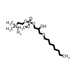 CCCCCCCCOCC(O)COP(=O)(OC)OCC[N+](C)(C)C